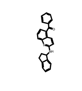 O=C(c1ccccc1)c1cccc2nc(NC3CCc4ccccc43)ccc12